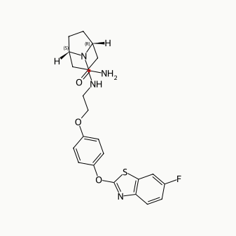 NC(=O)N1[C@@H]2CC[C@H]1CC(NCCOc1ccc(Oc3nc4ccc(F)cc4s3)cc1)C2